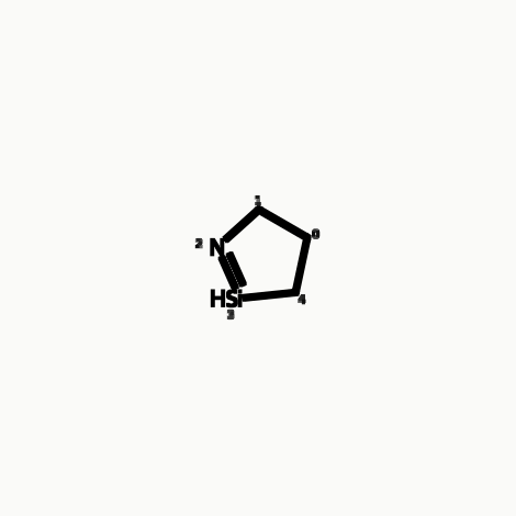 C1CN=[SiH]C1